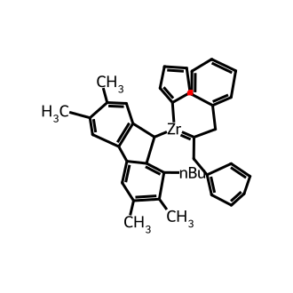 CCCCc1c(C)c(C)cc2c1[CH]([Zr]([C]1=CC=CC1)=[C](Cc1ccccc1)Cc1ccccc1)c1cc(C)c(C)cc1-2